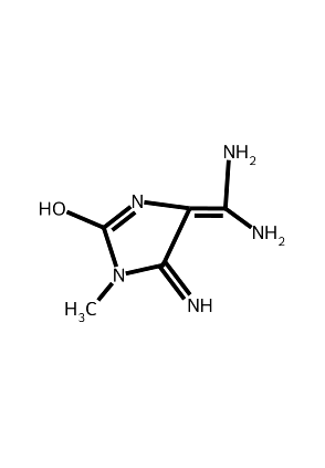 CN1C(=N)C(=C(N)N)N=C1O